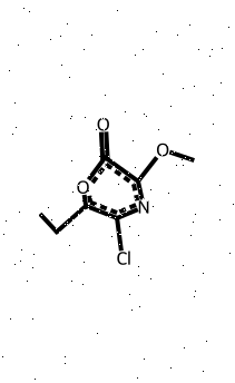 CCc1oc(=O)c(OC)nc1Cl